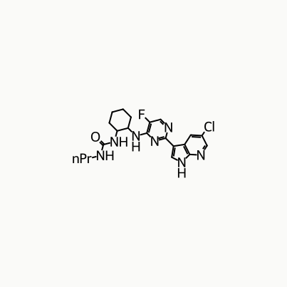 CCCNC(=O)NC1CCCCC1Nc1nc(-c2c[nH]c3ncc(Cl)cc23)ncc1F